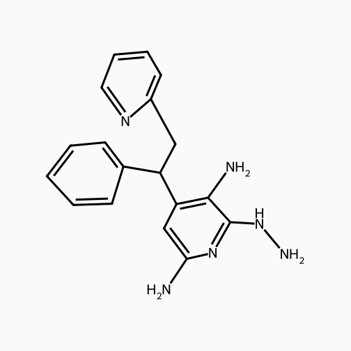 NNc1nc(N)cc(C(Cc2ccccn2)c2ccccc2)c1N